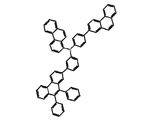 c1ccc(-c2c(-c3ccccc3)c3cc(-c4cccc(N(c5ccc(-c6ccc7c(ccc8ccccc87)c6)cc5)c5cccc6c5ccc5ccccc56)c4)ccc3c3ccccc23)cc1